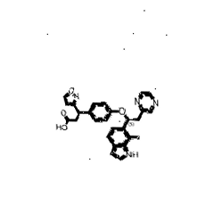 Cc1c([C@H](Cc2cnccn2)Oc2ccc(C(CC(=O)O)c3ccon3)cc2)ccc2cc[nH]c12